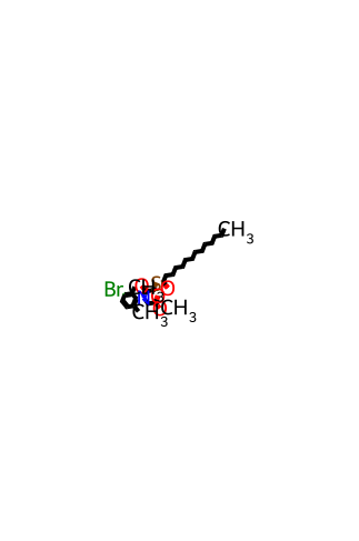 CCCCCCCCCCCCCC(=O)SCC(=O)N(CC(=O)OC)c1c(C)ccc(Br)c1C